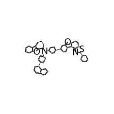 C1=c2c(oc3ccccc23)=C(N(c2ccc(-c3ccc4c(c3)oc3ccc5sc(-c6ccccc6)nc5c34)cc2)c2ccc(-c3cccc4ccccc34)cc2)CC1